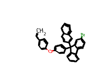 C=Cc1ccc(Oc2ccc(C3(c4ccc5ccccc5c4)c4ccccc4-c4ccc(Br)cc43)cc2)cc1